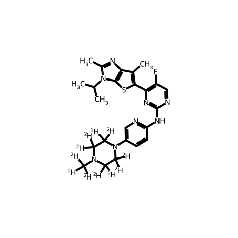 [2H]C([2H])([2H])N1C([2H])([2H])C([2H])([2H])N(c2ccc(Nc3ncc(F)c(-c4sc5c(nc(C)n5C(C)C)c4C)n3)nc2)C([2H])([2H])C1([2H])[2H]